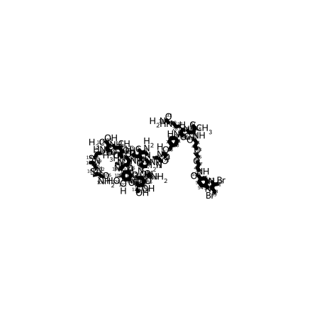 Cc1c(N)nc([C@H](CC(N)=O)NCC(NC(=O)OCc2ccc(NC(=O)[C@H](CCCNC(N)=O)NC(=O)[C@@H](NC(=O)CCOCCOCCNC(=O)c3ccc4nc(CBr)c(CBr)nc4c3)C(C)C)cc2)C(N)=O)nc1C(=O)N[C@H](C(=O)N[C@H](C)[C@@H](O)[C@H](C)C(=O)N[C@H](C(=O)NCCc1nc(-c2nc(C(N)=O)cs2)cs1)[C@@H](C)O)[C@H](O[C@@H]1C[C@@H](CO)[C@@H](O)[C@H](O)[C@@H]1O[C@H]1O[C@H](CO)[C@@H](O)[C@H](OC(N)=O)[C@@H]1O)c1cnc[nH]1